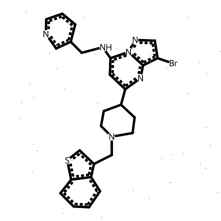 Brc1cnn2c(NCc3cccnc3)cc(C3CCN(Cc4csc5ccccc45)CC3)nc12